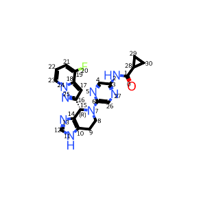 O=C(Nc1cnc(N2CCc3[nH]cnc3[C@@H]2c2cc3c(F)cccn3n2)cn1)C1CC1